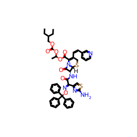 CCC(CC)COC(=O)OC(C)OC(=O)C1=C(/C=C\c2cccnc2)CS[C@@H]2[C@H](NC(=O)/C(=N/OC(c3ccccc3)(c3ccccc3)c3ccccc3)c3csc(N)n3)C(=O)N12